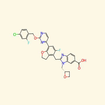 O=C(O)c1ccc2nc(Cc3c(F)cc(-c4ccnc(OCc5ccc(Cl)cc5F)n4)c4c3CCO4)n(C[C@@H]3CCO3)c2c1